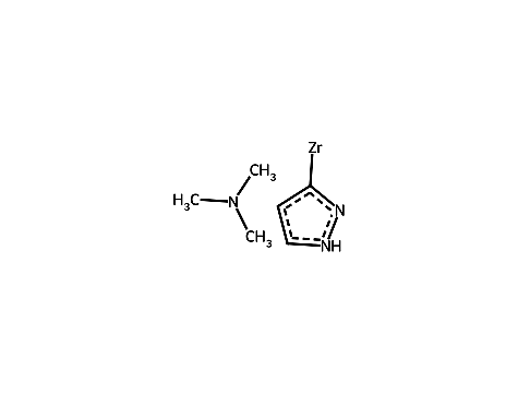 CN(C)C.[Zr][c]1cc[nH]n1